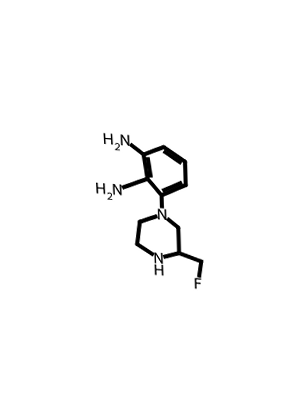 Nc1cccc(N2CCNC(CF)C2)c1N